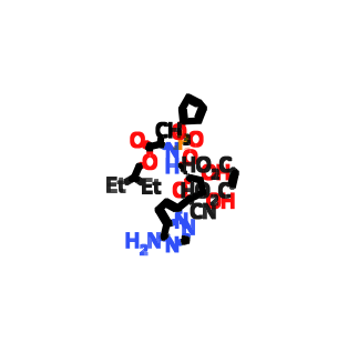 CCC(CC)COC(=O)C(C)N[P@](=O)(OC[C@H]1O[C@@](C#N)(c2ccc3c(N)ncnn23)[C@H](O)[C@@H]1O)Oc1ccccc1.O=C(O)/C=C\C(=O)O